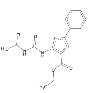 CCOC(=O)c1cc(-c2ccccc2)sc1NC(=O)NC(C)Cl